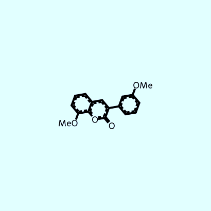 COc1cccc(-c2cc3cccc(OC)c3oc2=O)c1